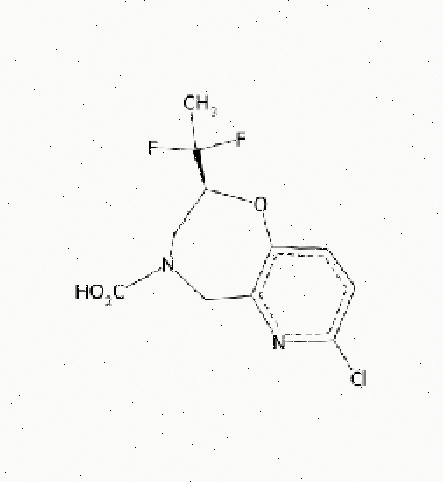 CC(F)(F)[C@@H]1CN(C(=O)O)Cc2nc(Cl)ccc2O1